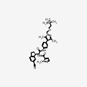 Cc1nn(COCC[Si](C)(C)C)c(C)c1-c1ccc(NC(=O)[C@@H](NC(=O)c2ccnn2C)[C@@H]2CCc3ccc(C#N)cc32)cc1